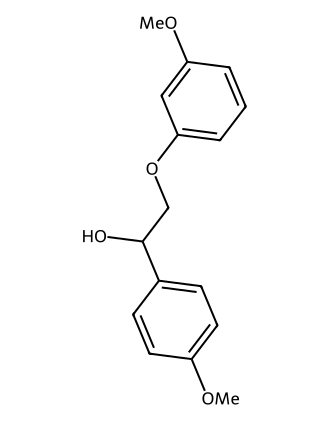 COc1ccc(C(O)COc2cccc(OC)c2)cc1